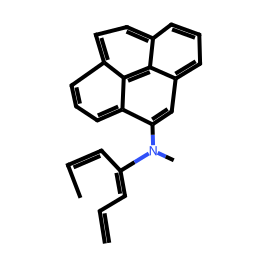 C=C/C=C(\C=C/C)N(C)c1cc2cccc3ccc4cccc1c4c32